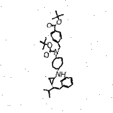 CC(C)C(=Cc1ccccc1)[C@@H]1C[C@H]1N[C@H]1CC[C@H](N(Cc2ccc(C(=O)OC(C)(C)C)cc2)C(=O)OC(C)(C)C)CC1